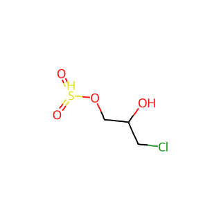 O=[SH](=O)OCC(O)CCl